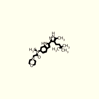 Cc1[nH]nc(-c2cc3c([nH]2)CC(N(C)C(=O)CN2CCOCC2)C=C3)c1CCC(C)(C)C